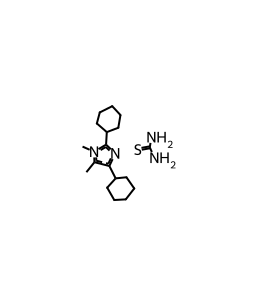 Cc1c(C2CCCCC2)nc(C2CCCCC2)n1C.NC(N)=S